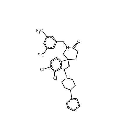 O=C1CC[C@](CCN2CCC(c3ccccc3)CC2)(c2ccc(Cl)c(Cl)c2)CN1Cc1cc(C(F)(F)F)cc(C(F)(F)F)c1